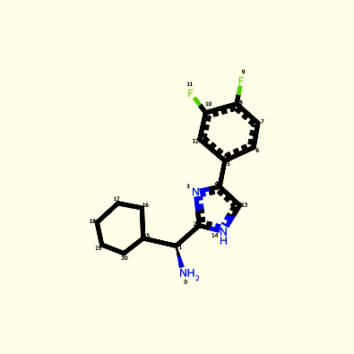 N[C@H](c1nc(-c2ccc(F)c(F)c2)c[nH]1)C1CCCCC1